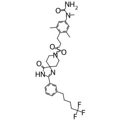 Cc1cc(N(C)C(N)=O)cc(C)c1CCS(=O)(=O)N1CCC2(CC1)N=C(c1cccc(CCCCC(F)(F)F)c1)NC2=O